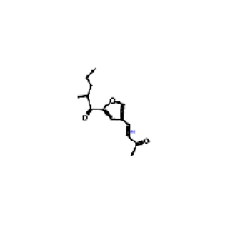 CCCC(C)C(=O)c1cc(/C=C/C(C)=O)co1